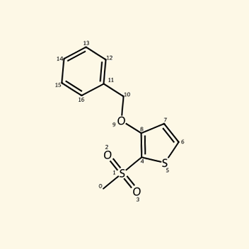 CS(=O)(=O)c1sccc1OCc1ccccc1